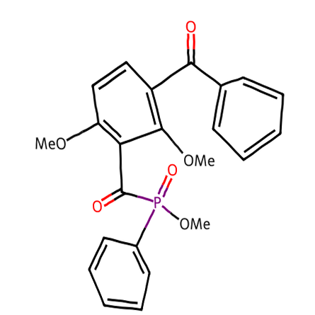 COc1ccc(C(=O)c2ccccc2)c(OC)c1C(=O)P(=O)(OC)c1ccccc1